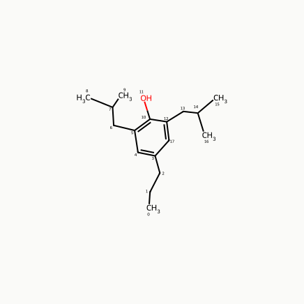 CCCc1cc(CC(C)C)c(O)c(CC(C)C)c1